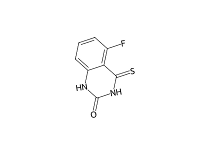 O=c1[nH]c(=S)c2c(F)cccc2[nH]1